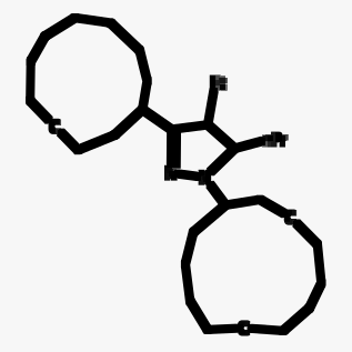 CCCC1C(CC)C(C2CCCCCCCCCC2)=NN1C1CCCCCCCCCCC1